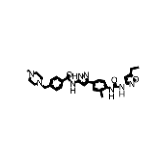 CCc1cc(NC(=O)Nc2ccc(-c3cc(NC(=O)c4ccc(CN5CCN(C)CC5)cc4)[nH]n3)cc2C)no1